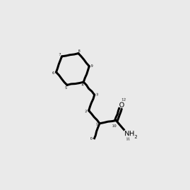 CC(CCC1CCCCC1)C(N)=O